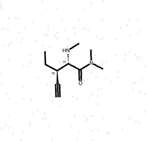 C#C[C@@H](CC)[C@H](NC)C(=O)N(C)C